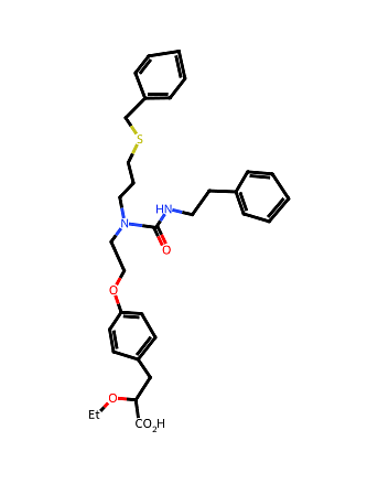 CCOC(Cc1ccc(OCCN(CCCSCc2ccccc2)C(=O)NCCc2ccccc2)cc1)C(=O)O